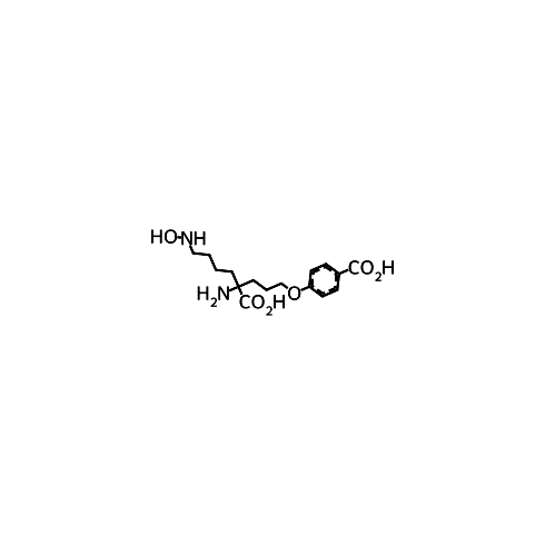 NC(CCCCNO)(CCCOc1ccc(C(=O)O)cc1)C(=O)O